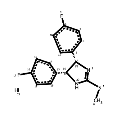 CSC1=N[C@@H](c2ccc(F)cc2)[C@@H](c2ccc(F)cc2)N1.I